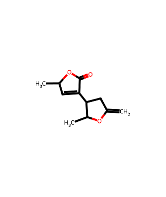 C=C1CC(C2=CC(C)OC2=O)C(C)O1